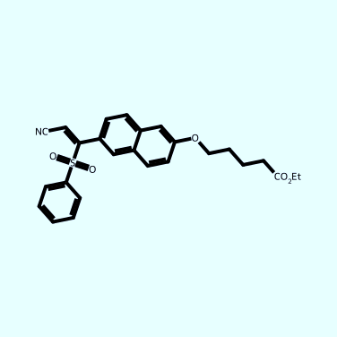 CCOC(=O)CCCCOc1ccc2cc(C(=CC#N)S(=O)(=O)c3ccccc3)ccc2c1